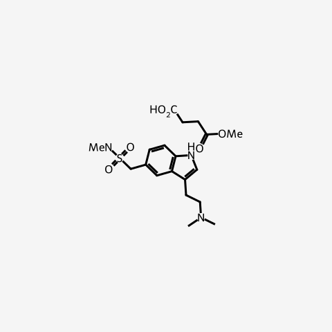 CNS(=O)(=O)Cc1ccc2[nH]cc(CCN(C)C)c2c1.COC(=O)CCC(=O)O